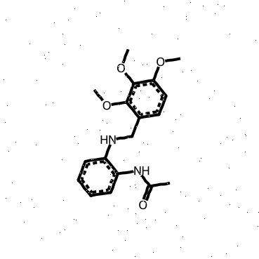 COc1ccc(CNc2ccccc2NC(C)=O)c(OC)c1OC